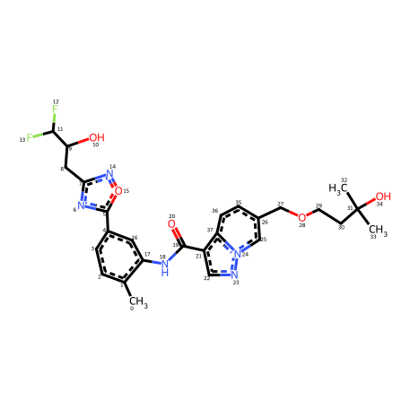 Cc1ccc(-c2nc(CC(O)C(F)F)no2)cc1NC(=O)c1cnn2cc(COCCC(C)(C)O)ccc12